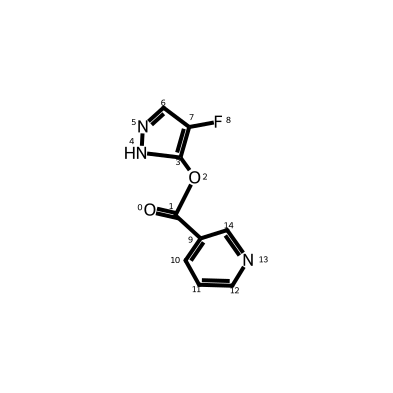 O=C(Oc1[nH]ncc1F)c1cccnc1